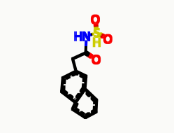 O=C(Cc1ccc2ccccc2c1)N[SH](=O)=O